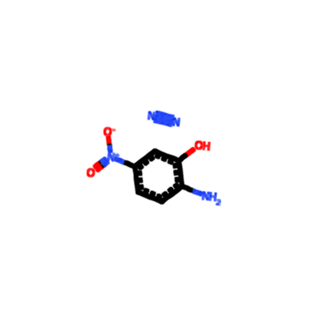 N#N.Nc1ccc([N+](=O)[O-])cc1O